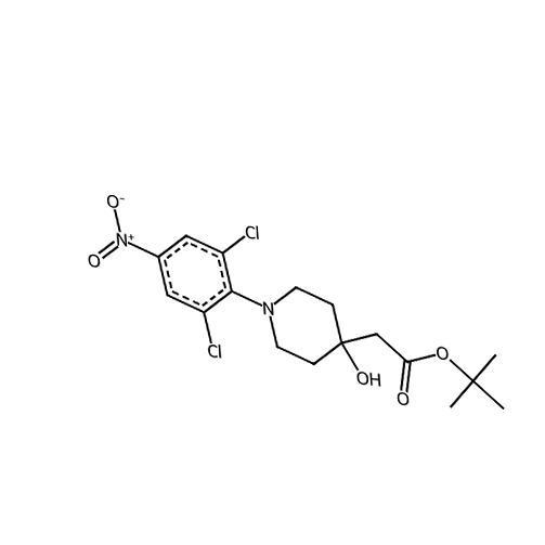 CC(C)(C)OC(=O)CC1(O)CCN(c2c(Cl)cc([N+](=O)[O-])cc2Cl)CC1